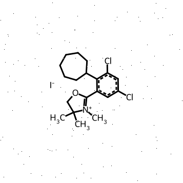 C[N+]1=C(c2cc(Cl)cc(Cl)c2C2CCCCCC2)OCC1(C)C.[I-]